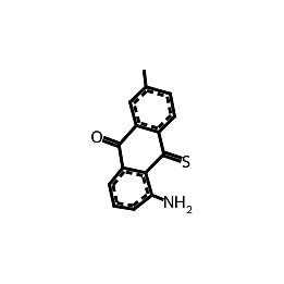 Cc1ccc2c(c1)C(=O)c1cccc(N)c1C2=S